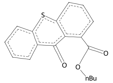 CCCCOC(=O)c1cccc2sc3ccccc3c(=O)c12